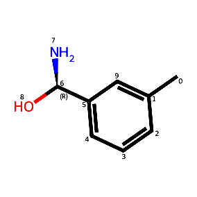 Cc1cccc([C@H](N)O)c1